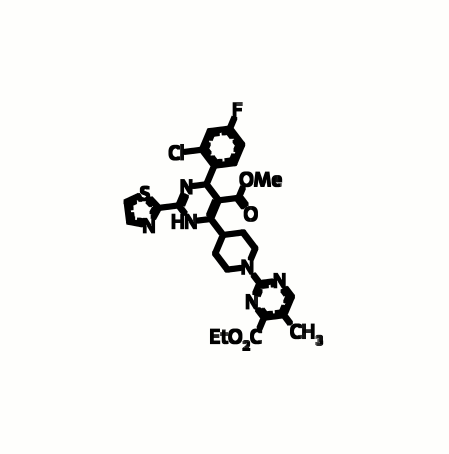 CCOC(=O)c1nc(N2CCC(C3=C(C(=O)OC)C(c4ccc(F)cc4Cl)N=C(c4nccs4)N3)CC2)ncc1C